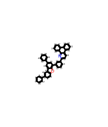 c1ccc(-c2ccc3oc4c(-c5cccc(-c6ccc7c8ccccc8c8ccccc8c7n6)c5)cc(-c5ccccc5)cc4c3c2)cc1